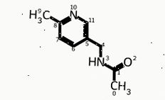 CC(=O)NCc1ccc(C)nc1